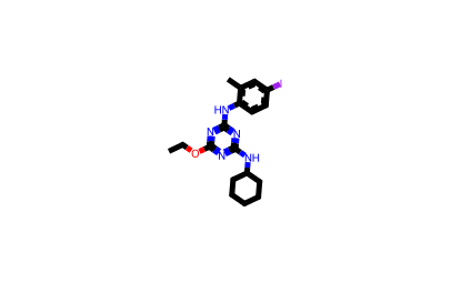 CCOc1nc(Nc2ccc(I)cc2C)nc(NC2CCCCC2)n1